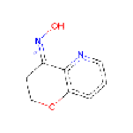 O/N=C1/CCOc2cccnc21